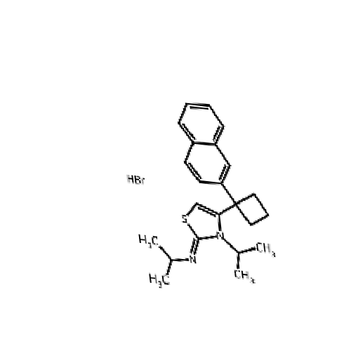 Br.CC(C)N=c1scc(C2(c3ccc4ccccc4c3)CCC2)n1C(C)C